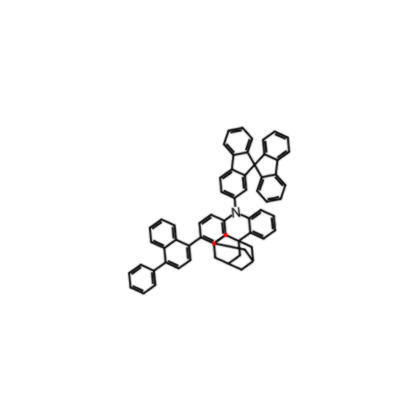 c1ccc(-c2ccc(-c3ccc(N(c4ccc5c(c4)C4(c6ccccc6-c6ccccc64)c4ccccc4-5)c4ccccc4C45CC6CC(CC(C6)C4)C5)cc3)c3ccccc23)cc1